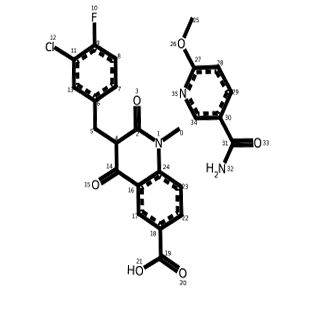 CN1C(=O)C(Cc2ccc(F)c(Cl)c2)C(=O)c2cc(C(=O)O)ccc21.COc1ccc(C(N)=O)cn1